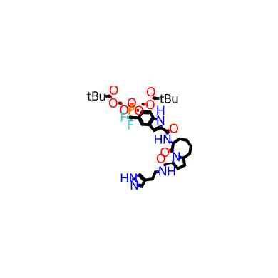 CC(C)(C)C(=O)OCOP(=O)(OCOC(=O)C(C)(C)C)C(F)(F)c1ccc2[nH]c(C(=O)N[C@H]3CCCCC4CC[C@@H](C(=O)NCCc5cn[nH]c5)N4C3=O)cc2c1